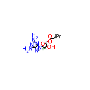 CC(C)CC(=O)OC[C@H]1O[C@@H](n2cnc3c(N)nc(N)nc32)[C@](C)(F)[C@@H]1O